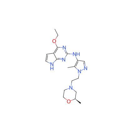 CCOc1nc(Nc2cnn(CCN3CCO[C@H](C)C3)c2C)nc2[nH]ccc12